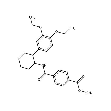 CCOc1ccc(C2CCCCC2NC(=O)c2ccc(C(=O)OC)cc2)cc1OCC